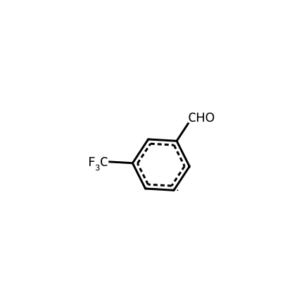 O=Cc1c[c]cc(C(F)(F)F)c1